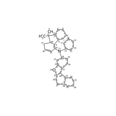 CC1(C)c2ccccc2C2=C(N(c3ccccc3)c3ccc4c(c3)oc3ccc5ccccc5c34)C=CCC21